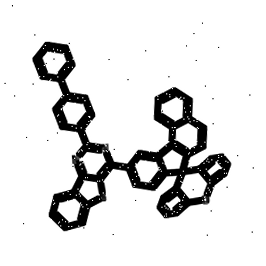 c1ccc(-c2ccc(-c3nc(-c4ccc5c(c4)-c4c(ccc6ccccc46)C54c5ccccc5Oc5ccccc54)c4sc5ccccc5c4n3)cc2)cc1